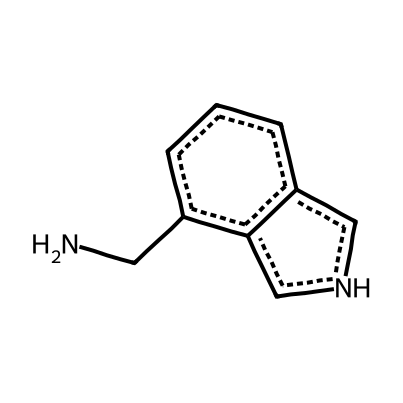 NCc1cccc2c[nH]cc12